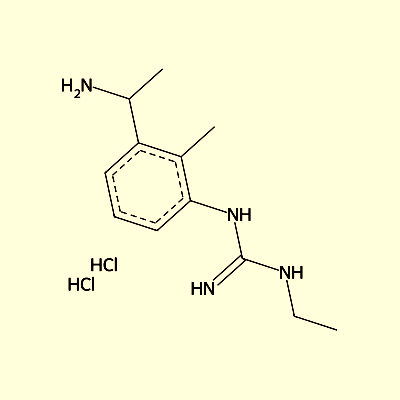 CCNC(=N)Nc1cccc(C(C)N)c1C.Cl.Cl